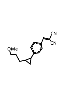 COCCCC1CC1c1ccc(C=C(C#N)C#N)cc1